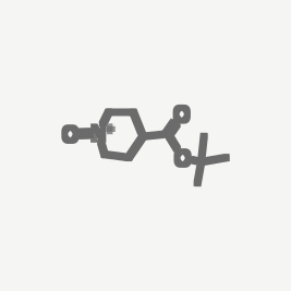 CC(C)(C)OC(=O)C1CC[N+](=O)CC1